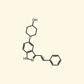 OC1CCN(c2ccc3[nH]nc(/C=C/c4ccccc4)c3c2)CC1